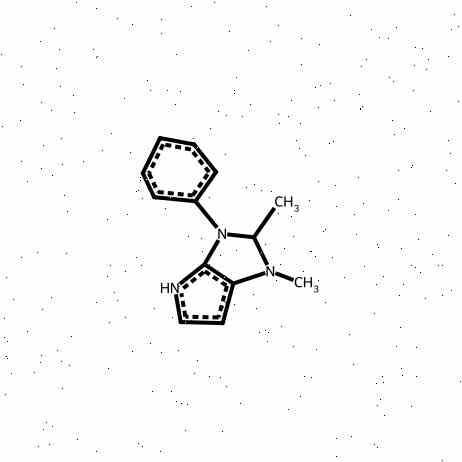 CC1N(C)c2cc[nH]c2N1c1ccccc1